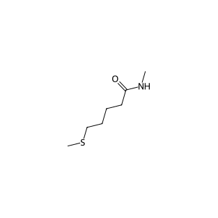 CNC(=O)CCCCSC